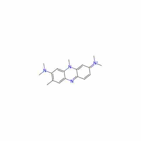 Cc1cc2nc3ccc(=[N+](C)C)cc-3n(C)c2cc1N(C)C